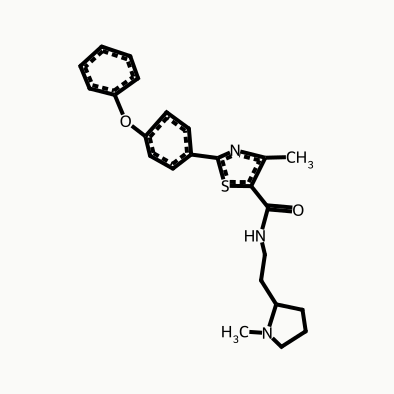 Cc1nc(-c2ccc(Oc3ccccc3)cc2)sc1C(=O)NCCC1CCCN1C